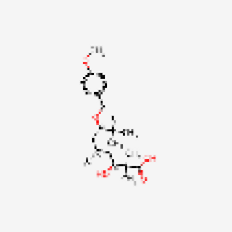 COc1ccc(CO[C@@H](C[C@@H](C)C[C@H](O)C(C)(C)C(=O)O)C(C)(C)C)cc1